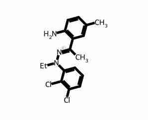 CCN(/N=C(\C)c1cc(C)ccc1N)c1cccc(Cl)c1Cl